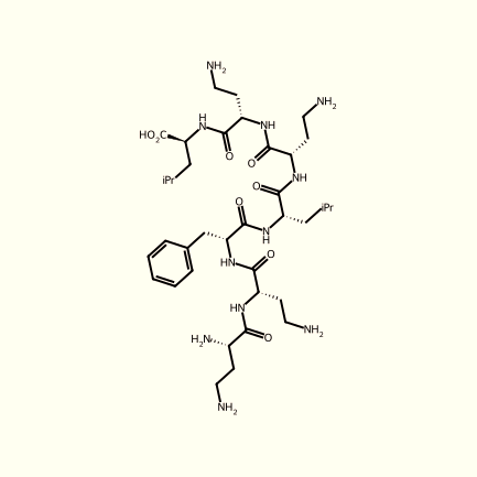 CC(C)C[C@H](NC(=O)[C@H](CCN)NC(=O)[C@H](CCN)NC(=O)[C@H](CC(C)C)NC(=O)[C@@H](Cc1ccccc1)NC(=O)[C@H](CCN)NC(=O)[C@@H](N)CCN)C(=O)O